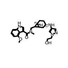 COc1cccc2[nH]cc(C(=O)N(C)CC3C4C[C@@H](Nc5cnn(CCO)c5)CC[C@H]43)c12